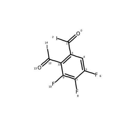 O=C(I)c1cc(F)c(F)c(F)c1C(=O)I